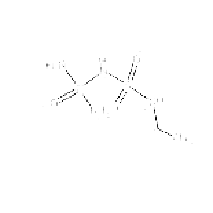 CCNS(=O)(=O)NP(N)(N)=O